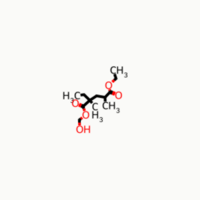 CCOC(=O)C(C)CC(C)(CC)C(=O)OCO